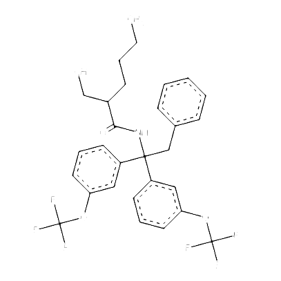 CCCCC(CC)C(=O)NC(Cc1ccccc1)(c1cccc(OC(F)(F)F)c1)c1cccc(OC(F)(F)F)c1